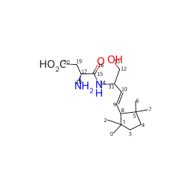 CC1(C)CCC(C)(C)C1C=CC(CO)NC(=O)[C@@H](N)CC(=O)O